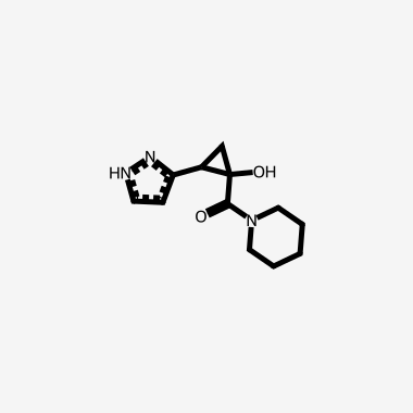 O=C(N1CCCCC1)C1(O)CC1c1cc[nH]n1